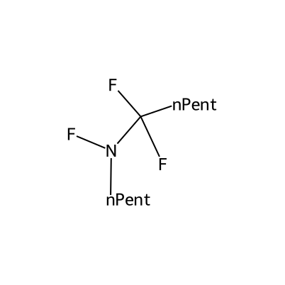 CCCCCN(F)C(F)(F)CCCCC